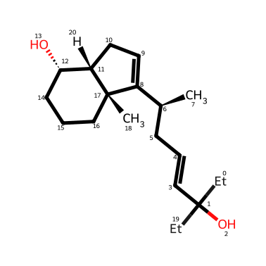 CCC(O)(/C=C/C[C@H](C)C1=CC[C@H]2[C@@H](O)CCC[C@@]12C)CC